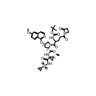 C=C[C@@H]1C[C@]1(NC(=O)[C@@H]1C[C@@H](Oc2nccc3cc(OC)ccc23)CN1C(=O)C(CCC(=O)N1CCC1=O)NC(=O)OC(C)(C)C)C(=O)NS(=O)(=O)C1CC1